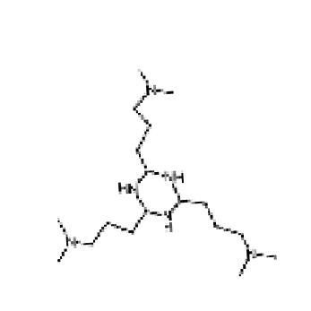 CN(C)CCCC1NC(CCCN(C)C)NC(CCCN(C)C)N1